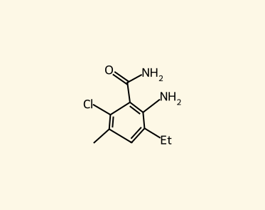 CCc1cc(C)c(Cl)c(C(N)=O)c1N